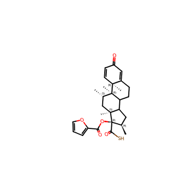 C[C@@H]1CC2C3CCC4=CC(=O)C=C[C@]4(C)[C@]3(C)[C@@H](C)C[C@]2(C)[C@@]1(OC(=O)c1ccco1)C(=O)S